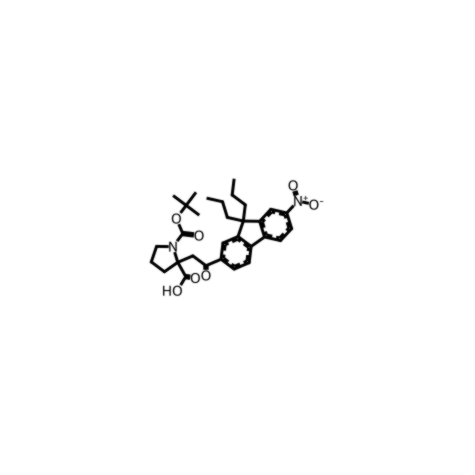 CCCC1(CCC)c2cc(C(=O)CC3(C(=O)O)CCCN3C(=O)OC(C)(C)C)ccc2-c2ccc([N+](=O)[O-])cc21